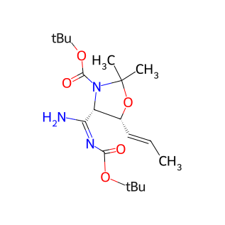 C/C=C/[C@H]1OC(C)(C)N(C(=O)OC(C)(C)C)[C@H]1/C(N)=N\C(=O)OC(C)(C)C